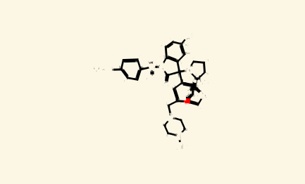 COc1ccc(S(=O)(=O)N2C(=O)C(c3cc(CN4CCN(C(C)C)CC4)ccc3OC)(N3CCC[C@H]3c3ncco3)c3cc(Cl)ccc32)cc1